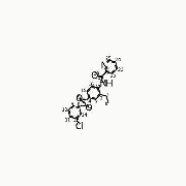 CCc1cc(S(=O)(=O)c2cccc(Cl)c2)ccc1NC(=O)c1ccccn1